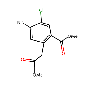 COC(=O)Cc1cc(C#N)c(Cl)cc1C(=O)OC